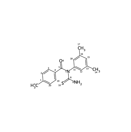 Cc1ccc(C(=O)N(C(N)=S)c2cc(C)cc(C)c2)cc1